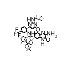 COCC(C)Nc1nc(Oc2cccc3[nH]c(=O)c(N)nc23)cc(-c2ccc(C(F)(F)F)cc2NC(=O)[C@@H]2CC[C@H](C)N2C(=O)OC(C)(C)C)n1